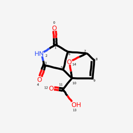 O=C1NC(=O)C2C1C1C=CC2(C(=O)O)O1